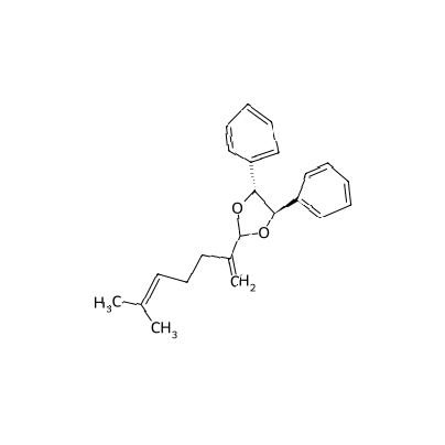 C=C(CCC=C(C)C)C1O[C@H](c2ccccc2)[C@@H](c2ccccc2)O1